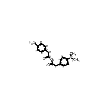 CN(C)c1ccc(CC(=O)OC(=O)Cc2ccc(C(F)(F)F)cc2)cc1